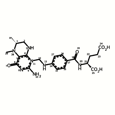 C[C@@H]1CNc2c(c(=O)nc(N)n2CNc2ccc(C(=O)N[C@@H](CCC(=O)O)C(=O)O)cc2)N1C